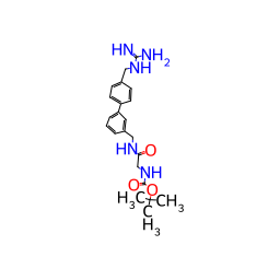 CC(C)(C)OC(=O)NCC(=O)NCc1cccc(-c2ccc(CNC(=N)N)cc2)c1